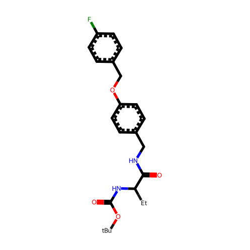 CCC(NC(=O)OC(C)(C)C)C(=O)NCc1ccc(OCc2ccc(F)cc2)cc1